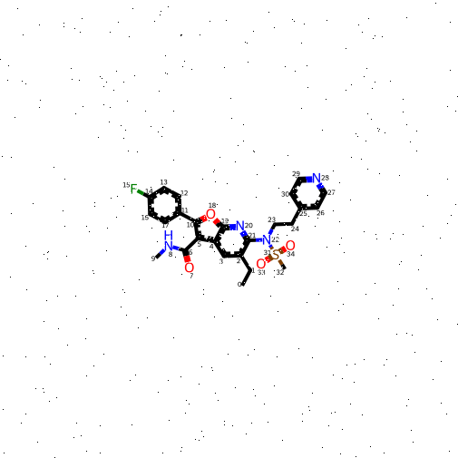 CCc1cc2c(C(=O)NC)c(-c3ccc(F)cc3)oc2nc1N(CCc1ccncc1)S(C)(=O)=O